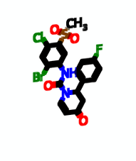 CS(=O)(=O)c1cc(NC(=O)N2C=CC(=O)CC2c2ccc(F)cc2)c(Br)cc1Cl